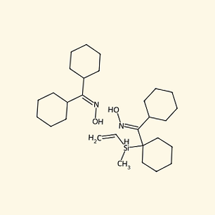 C=C[SiH](C)C1(C(=NO)C2CCCCC2)CCCCC1.ON=C(C1CCCCC1)C1CCCCC1